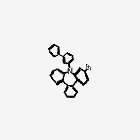 Brc1ccc2c(c1)N(c1cccc(-c3ccccc3)c1)c1ccccc1-c1ccccc1-2